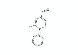 O=CC1=CCC(c2ccccc2)C(F)=C1